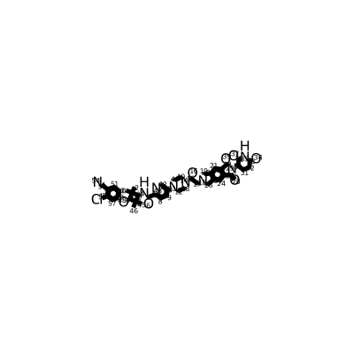 CC1(C)[C@H](NC(=O)c2ccc(N3CCN(C(=O)CN4Cc5cc6c(cc5C4)C(=O)N(C4CCC(=O)NC4=O)C6=O)CC3)cn2)C(C)(C)[C@H]1Oc1ccc(C#N)c(Cl)c1